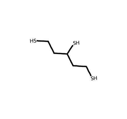 SCCC(S)CCS